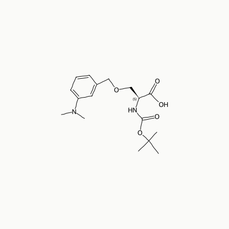 CN(C)c1cccc(COC[C@H](NC(=O)OC(C)(C)C)C(=O)O)c1